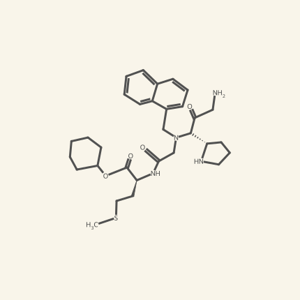 CSCC[C@H](NC(=O)CN(Cc1cccc2ccccc12)C(C(=O)CN)[C@@H]1CCCN1)C(=O)OC1CCCCC1